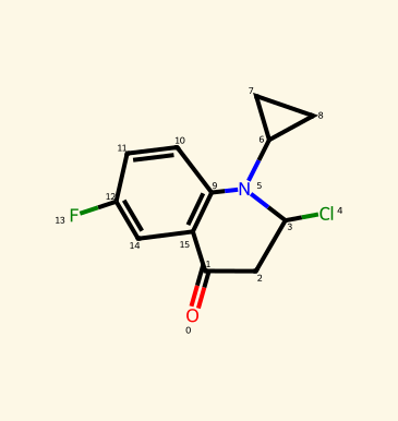 O=C1CC(Cl)N(C2CC2)c2ccc(F)cc21